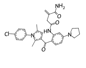 C=C(CC(=O)Nc1cc(N2CCCC2)ccc1C(=O)c1cc(C)n(-c2ccc(Cl)cc2)c1C)C(N)=O